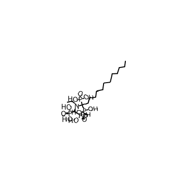 CCCCCCCCCCCCC(N(CC)C(P(=O)(O)O)P(=O)(O)O)(P(=O)(O)O)P(=O)(O)O